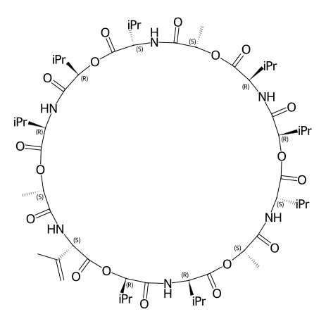 C=C(C)[C@@H]1NC(=O)[C@H](C)OC(=O)[C@@H](C(C)C)NC(=O)[C@@H](C(C)C)OC(=O)[C@H](C(C)C)NC(=O)[C@H](C)OC(=O)[C@@H](C(C)C)NC(=O)[C@@H](C(C)C)OC(=O)[C@H](C(C)C)NC(=O)[C@H](C)OC(=O)[C@@H](C(C)C)NC(=O)[C@@H](C(C)C)OC1=O